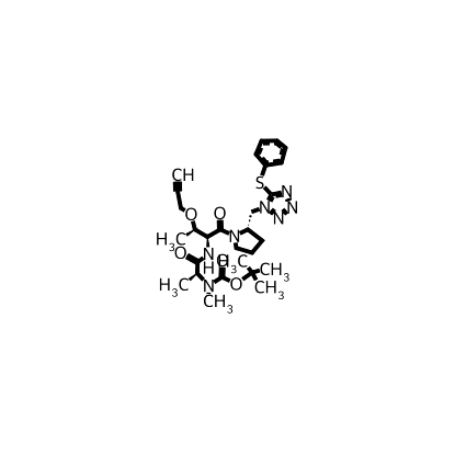 C#CCO[C@H](C)[C@H](NC(=O)[C@H](C)N(C)C(=O)OC(C)(C)C)C(=O)N1CCC[C@H]1Cn1nnnc1Sc1ccccc1